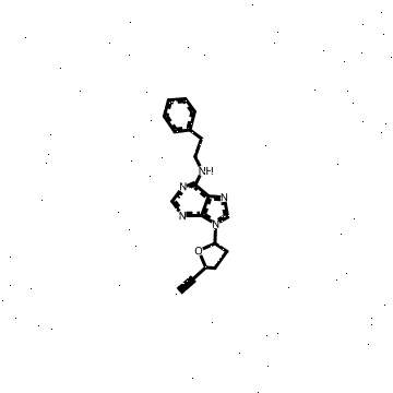 C#CC1CCC(n2cnc3c(NCCc4ccccc4)ncnc32)O1